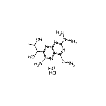 CC(O)C(O)c1nc2nc(N(N)N)nc(ON)c2nc1N.Cl.Cl